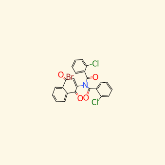 O=C1C(Br)=C(N(C(=O)c2ccccc2Cl)C(=O)c2ccccc2Cl)C(=O)c2ccccc21